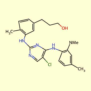 CNc1cc(C)ccc1Nc1nc(Nc2cc(CCCO)ccc2C)ncc1Cl